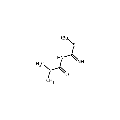 CN(C)C(=O)NC(=N)SC(C)(C)C